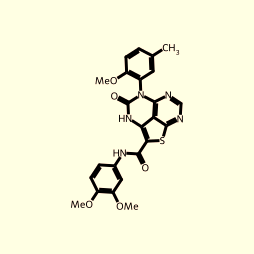 COc1ccc(NC(=O)c2sc3ncnc4c3c2NC(=O)N4c2cc(C)ccc2OC)cc1OC